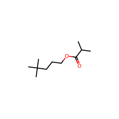 CC(C)C(=O)OCCCC(C)(C)C